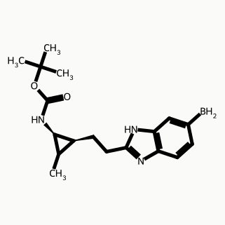 Bc1ccc2nc(CC[C@H]3C(C)[C@H]3NC(=O)OC(C)(C)C)[nH]c2c1